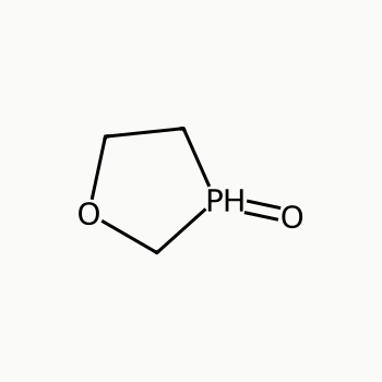 O=[PH]1CCOC1